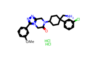 COc1cccc(-c2nnc3n2CC(=O)N(C2CCC(CN)(c4cccc(Cl)c4)CC2)C3)c1.Cl.Cl